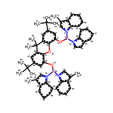 Cc1cn(P(Oc2cc(C(C)(C)C)cc3c2Oc2c(OP(n4cc(C)c5ccccc54)n4cc(C)c5ccccc54)cc(C(C)(C)C)cc2C3(C)C)n2ccc3ccccc32)c2ccccc12